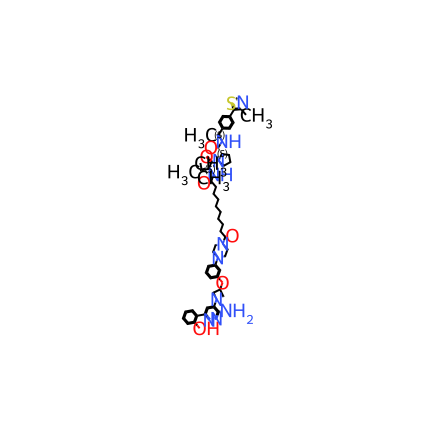 Cc1ncsc1-c1ccc([C@H](C)NC(=O)[C@@H]2CCCN2C(=O)[C@@H](NC(=O)CCCCCCCCC(=O)N2CCN(c3cccc(OC4CN(c5cc(-c6ccccc6O)nnc5N)C4)c3)CC2)C(C)(C)C)cc1